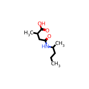 CCCC(C)NC(=O)CC(C)C(=O)O